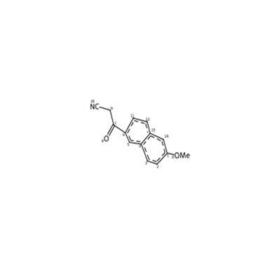 COc1ccc2cc(C(=O)CC#N)ccc2c1